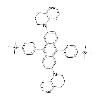 C[Si](C)(C)c1ccc(-c2c3ccc(N4CCCc5ccccc54)cc3c(-c3ccc([Si](C)(C)C)cc3)c3ccc(N4CCCc5ccccc54)cc23)cc1